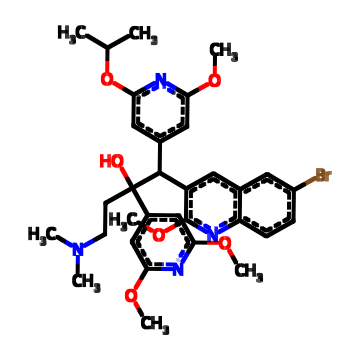 COc1cc(C(O)(CCN(C)C)C(c2cc(OC)nc(OC(C)C)c2)c2cc3cc(Br)ccc3nc2OC)cc(OC)n1